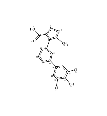 Cc1onc(C(=O)O)c1-c1cccc(-c2cc(Cl)c(O)c(Cl)c2)c1